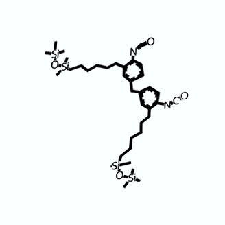 C[Si](C)(C)O[Si](C)(C)CCCCCCc1cc(Cc2ccc(N=C=O)c(CCCCCC[Si](C)(C)O[Si](C)(C)C)c2)ccc1N=C=O